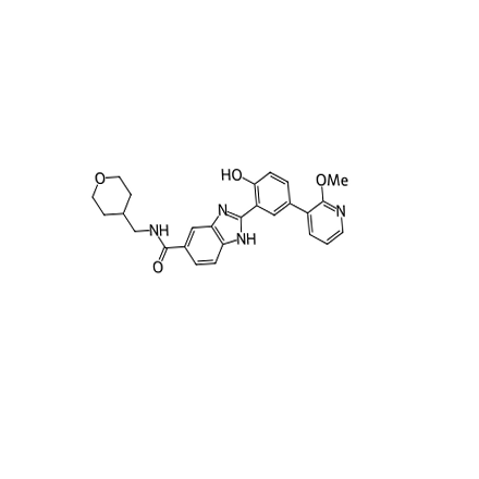 COc1ncccc1-c1ccc(O)c(-c2nc3cc(C(=O)NCC4CCOCC4)ccc3[nH]2)c1